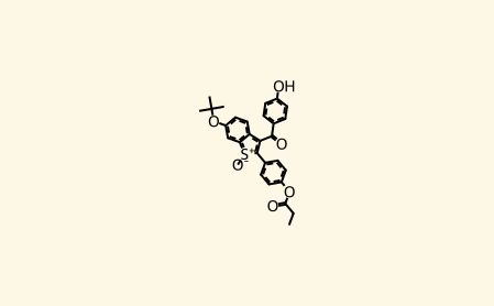 CCC(=O)Oc1ccc(-c2c(C(=O)c3ccc(O)cc3)c3ccc(OC(C)(C)C)cc3[s+]2[O-])cc1